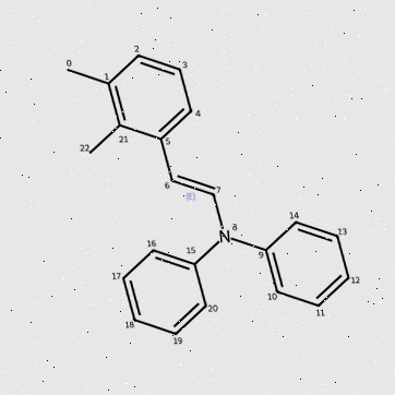 Cc1cccc(/C=C/N(c2ccccc2)c2ccccc2)c1C